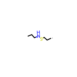 [CH2]CCSNCCC